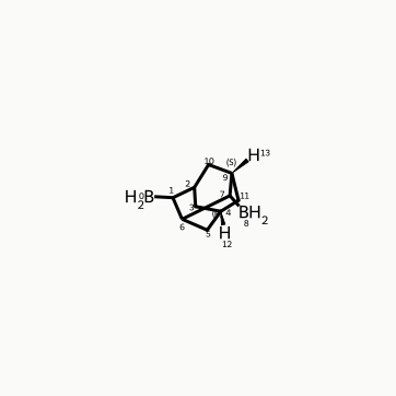 BC1C2C[C@H]3CC1C(B)[C@H](C2)C3